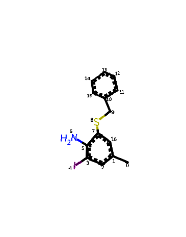 Cc1cc(I)c(N)c(SCc2ccccc2)c1